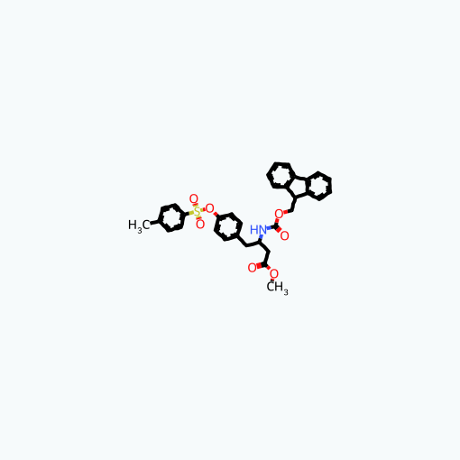 COC(=O)CC(Cc1ccc(OS(=O)(=O)c2ccc(C)cc2)cc1)NC(=O)OCC1c2ccccc2-c2ccccc21